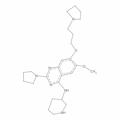 COc1cc2c(NC3CCCNC3)nc(N3CCCC3)nc2cc1OCCCN1CCCC1